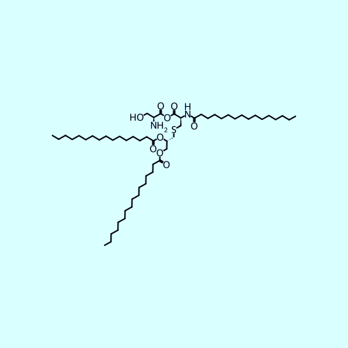 CCCCCCCCCCCCCCCC(=O)N[C@@H](CSC[C@H](COC(=O)CCCCCCCCCCCCCCC)OC(=O)CCCCCCCCCCCCCCC)C(=O)OC(=O)[C@@H](N)CO